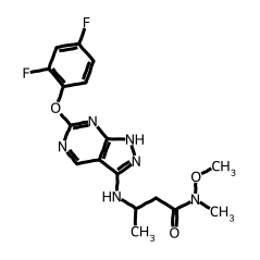 CON(C)C(=O)CC(C)Nc1n[nH]c2nc(Oc3ccc(F)cc3F)ncc12